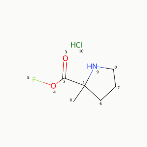 CC1(C(=O)OF)CCCN1.Cl